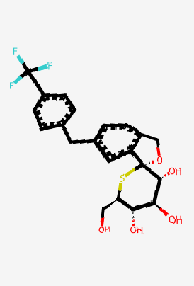 OC[C@H]1S[C@]2(OCc3ccc(Cc4ccc(C(F)(F)F)cc4)cc32)[C@H](O)[C@@H](O)[C@@H]1O